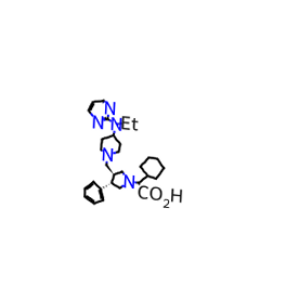 CCN(c1ncccn1)C1CCN(C[C@H]2CN([C@@H](C(=O)O)C3CCCCC3)C[C@@H]2c2ccccc2)CC1